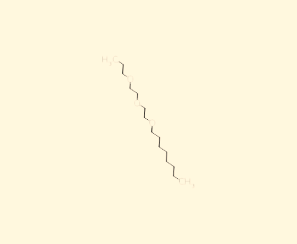 CCCCCCCCOCCOCCOCCC